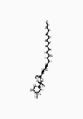 CCCCCCCCCCCCCCC#CC#CC(=O)OC(C)(C)C1CCNCC1